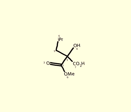 COC(=O)C(O)(CC(C)C)C(=O)O